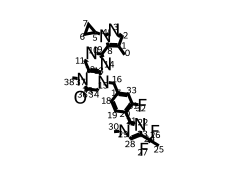 Cc1cnn(C2CC2)c1-c1ncc2c(n1)N(Cc1ccc(-c3nc(C(C)(F)F)cn3C)c(F)c1)CC(=O)N2C